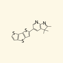 CC1=Nc2ncc(-c3cc4sc5ccsc5c4s3)cc2C1(C)C